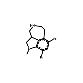 CN1CC2CNCCc3c(Br)cc(Br)c1c32